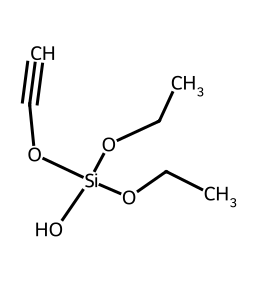 C#CO[Si](O)(OCC)OCC